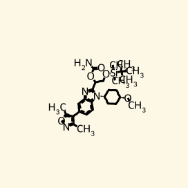 CO[C@H]1CC[C@H](n2c(C(CO[Si](C)(C)C(C)(C)C)OC(N)=O)nc3cc(-c4c(C)noc4C)ccc32)CC1